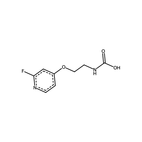 O=C(O)NCCOc1ccnc(F)c1